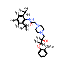 [2H]c1c([2H])c(C([2H])([2H])[2H])c(NC(=O)CN2CCN(CC([2H])(O)C([2H])([2H])Oc3ccccc3OC)CC2)c(C([2H])([2H])[2H])c1[2H]